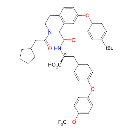 CC(C)(C)c1ccc(Oc2ccc3c(c2)C(C(=O)N[C@@H](Cc2ccc(Oc4ccc(OC(F)(F)F)cc4)cc2)C(=O)O)N(C(=O)CC2CCCC2)CC3)cc1